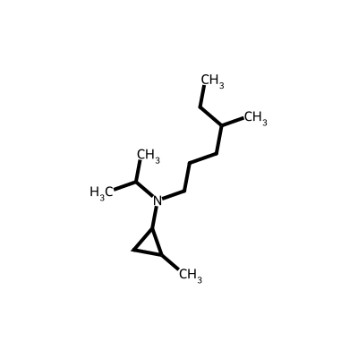 CCC(C)CCCN(C(C)C)C1CC1C